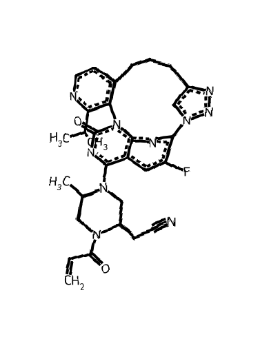 C=CC(=O)N1CC(C)N(c2nc(=O)n3c4nc(c(F)cc24)-n2cc(nn2)CCCc2ccnc(C(C)C)c2-3)CC1CC#N